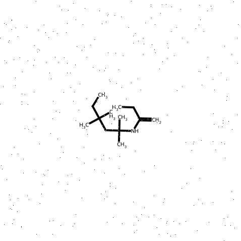 C=C(CC)NC(C)(C)CC(C)(C)CC